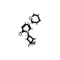 O=c1ccc([C@H]2CCCCO2)cn1C1CC(F)(F)C1